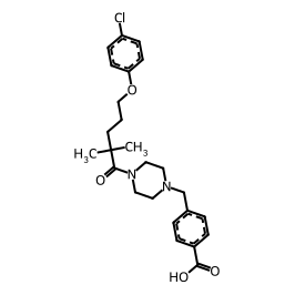 CC(C)(CCCOc1ccc(Cl)cc1)C(=O)N1CCN(Cc2ccc(C(=O)O)cc2)CC1